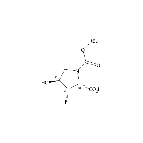 CC(C)(C)OC(=O)N1C[C@H](O)[C@@H](F)[C@H]1C(=O)O